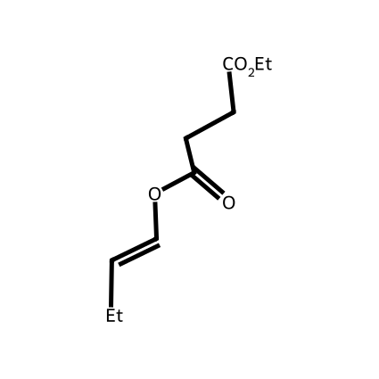 CCC=COC(=O)CCC(=O)OCC